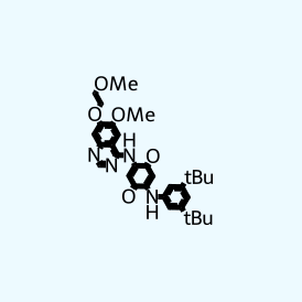 COCCOc1cc2ncnc(NC3=CC(=O)C(Nc4cc(C(C)(C)C)cc(C(C)(C)C)c4)=CC3=O)c2cc1OC